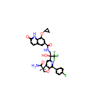 C[C@]1(C(N)=O)COc2c1cc(C(O)(CNC(=O)c1cc(OC3CC3)c3[nH]c(=O)ccc3c1)C(F)(F)F)nc2-c1ccc(F)cc1